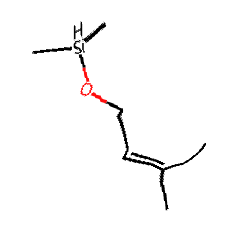 CC(C)=CCO[SiH](C)C